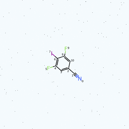 N#Cc1cc(F)c(I)c(F)c1